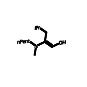 CCCCCN(C)/C(=C/O)CC(C)C